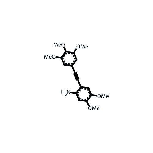 COc1cc(N)c(C#Cc2cc(OC)c(OC)c(OC)c2)cc1OC